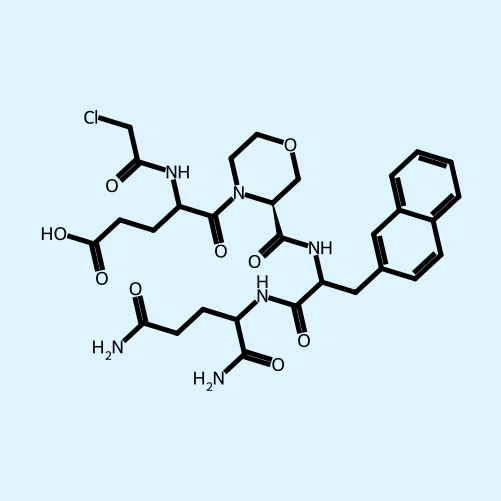 NC(=O)CCC(NC(=O)C(Cc1ccc2ccccc2c1)NC(=O)[C@@H]1COCCN1C(=O)C(CCC(=O)O)NC(=O)CCl)C(N)=O